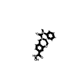 CN(C(=O)N1CCOc2cc(C(=O)NO)ccc2C1)c1ccccc1